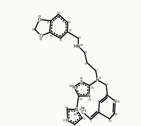 C/C=C1\C=C(CN(CCCNCc2ccc3c(c2)OCO3)c2nc(-n3ccnc3)ns2)N=CC1